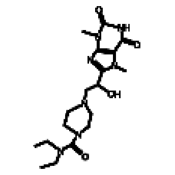 CCN(CC)C(=O)N1CCN(CC(O)c2nc3c(c(=O)[nH]c(=O)n3C)n2C)CC1